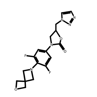 O=C1OC(Cn2ccnn2)CN1c1cc(F)c(N2CC3(COC3)C2)c(F)c1